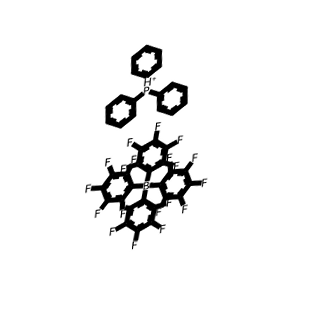 Fc1c(F)c(F)c([B-](c2c(F)c(F)c(F)c(F)c2F)(c2c(F)c(F)c(F)c(F)c2F)c2c(F)c(F)c(F)c(F)c2F)c(F)c1F.c1ccc([PH+](c2ccccc2)c2ccccc2)cc1